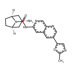 Cc1ncc(-c2cnc3cnc(NC(=O)N4[C@@H]5CC[C@H]4C[C@H](N)C5)cc3c2)o1